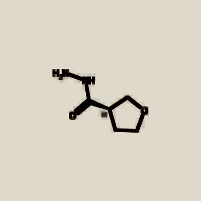 NNC(=O)[C@@H]1CCOC1